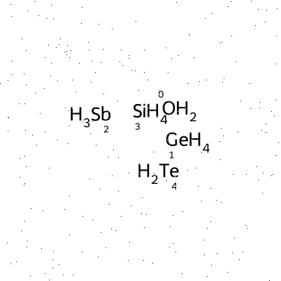 O.[GeH4].[SbH3].[SiH4].[TeH2]